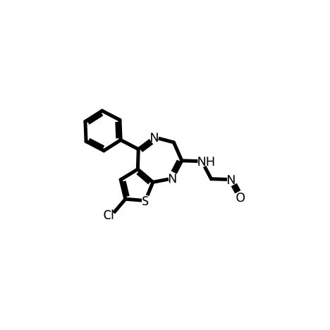 O=NCNC1=Nc2sc(Cl)cc2C(c2ccccc2)=NC1